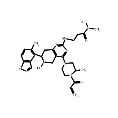 C=CC(=O)N1CCN(c2nc(NCCC(=O)N(C)C)nc3c2CN(C)C(c2c(C)ccc4[nH]ncc24)C3)C[C@H]1C